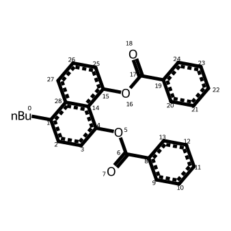 CCCCc1ccc(OC(=O)c2ccccc2)c2c(OC(=O)c3ccccc3)cccc12